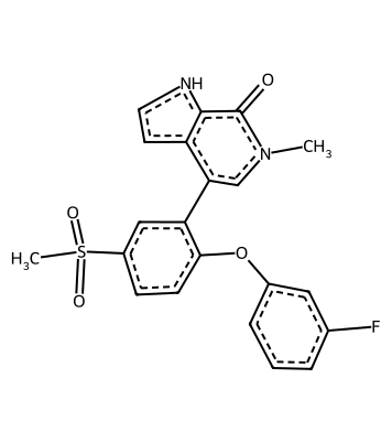 Cn1cc(-c2cc(S(C)(=O)=O)ccc2Oc2cccc(F)c2)c2cc[nH]c2c1=O